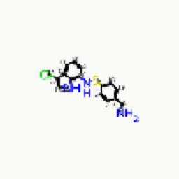 NCc1ccc(SNc2cccc3c(Cl)c[nH]c23)cc1